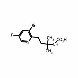 CC(C)(CCc1ncc(F)cc1Br)NC(=O)O